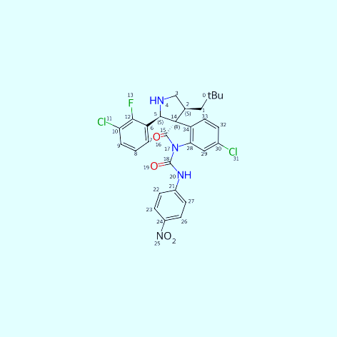 CC(C)(C)C[C@@H]1CN[C@H](c2cccc(Cl)c2F)[C@@]12C(=O)N(C(=O)Nc1ccc([N+](=O)[O-])cc1)c1cc(Cl)ccc12